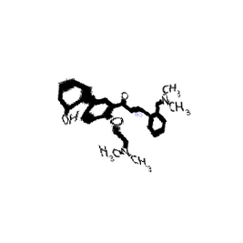 CN(C)CCOc1ccc(-c2ccccc2O)cc1C(=O)/C=C/c1ccccc1CN(C)C